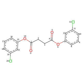 O=C(CCC(=O)Oc1cccc(Cl)c1)Oc1cccc(Cl)c1